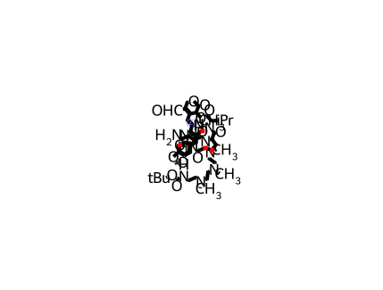 CC(C)C(NC(=O)C1CCCN1C(=O)C(CC(N)=O)NC(=O)CN(C)CCN(C)CCN(C)CCNC(=O)OC(C)(C)C)C(=O)OC1C(=O)OCC(C=O)=C1/C=C1/c2nc3cc4c(cc3cc2CN1C)OCO4